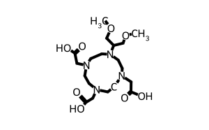 COCC(COC)N1CCN(CC(=O)O)CCN(CC(=O)O)CCN(CC(=O)O)CC1